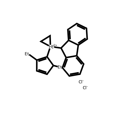 CCC1=[C]([Hf+2]2([CH]3c4ccccc4-c4ccccc43)[CH2][CH2]2)C(CC)C=C1.[Cl-].[Cl-]